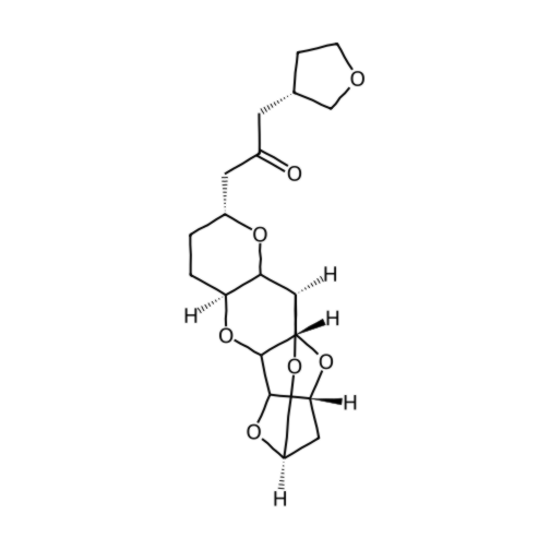 O=C(C[C@@H]1CCOC1)C[C@H]1CC[C@@H]2OC3C4O[C@@H]5C[C@H]4O[C@H]3[C@@H](O5)C2O1